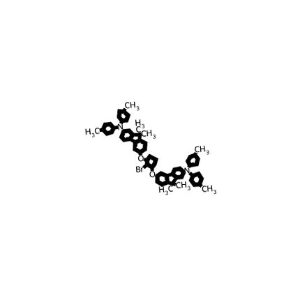 Cc1ccc(N(c2ccc(C)cc2)c2ccc3c(c2)C(C)(C)c2ccc(Oc4cccc(Oc5ccc6c(c5)-c5ccc(N(c7ccc(C)cc7)c7ccc(C)cc7)cc5C6(C)C)c4Br)cc2-3)cc1